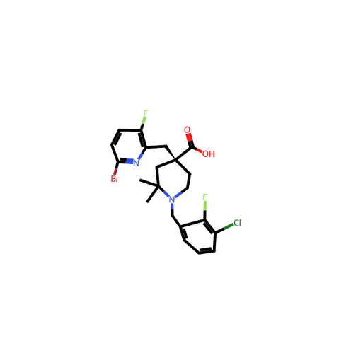 CC1(C)C[C@](Cc2nc(Br)ccc2F)(C(=O)O)CCN1Cc1cccc(Cl)c1F